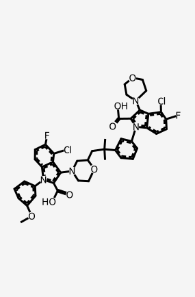 COc1cccc(-n2c(C(=O)O)c(N3CCOC(CC(C)(C)c4cccc(-n5c(C(=O)O)c(N6CCOCC6)c6c(Cl)c(F)ccc65)c4)C3)c3c(Cl)c(F)ccc32)c1